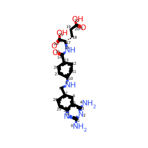 Nc1nc(N)c2cc(CNc3ccc(C(=O)N[C@@H](CCC(=O)O)C(=O)O)cc3)ccc2n1